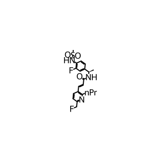 CCCc1nc(CF)ccc1/C=C/C(=O)N[C@H](C)c1ccc(NS(C)(=O)=O)c(F)c1